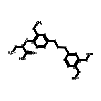 CCc1cc(CCCc2ccc(CO)c(CO)c2)ccc1OC(CC)C(=O)O